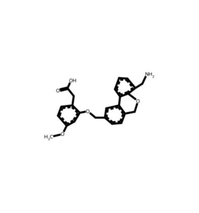 COc1ccc(CC(=O)O)c(OCc2ccc3c(c2)-c2cccc(CN)c2OC3)c1